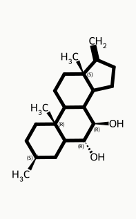 C=C1CCC2C3C(CC[C@]12C)[C@@]1(C)CC[C@H](C)CC1[C@@H](O)[C@@H]3O